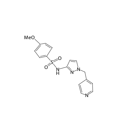 COc1ccc(S(=O)(=O)Nc2ccn(Cc3ccncc3)n2)cc1